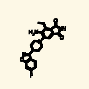 CCc1c(N)c(N2CCC(c3noc4cc(F)ccc34)CC2)cc2c1C(=O)NC2=O